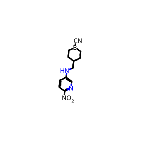 N#CB1CCC(CNc2ccc([N+](=O)[O-])nc2)CC1